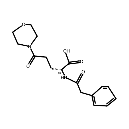 O=C(Cc1ccccc1)N[C@H](CCC(=O)N1CCOCC1)C(=O)O